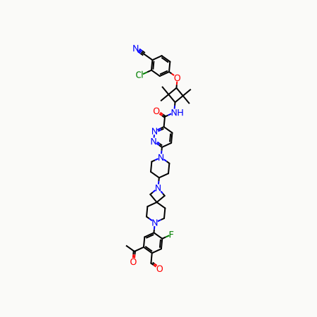 CC(=O)c1cc(N2CCC3(CC2)CN(C2CCN(c4ccc(C(=O)NC5C(C)(C)C(Oc6ccc(C#N)c(Cl)c6)C5(C)C)nn4)CC2)C3)c(F)cc1C=O